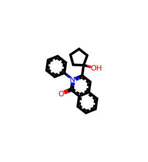 O=c1c2ccccc2cc(C2(O)CCCC2)n1-c1ccccc1